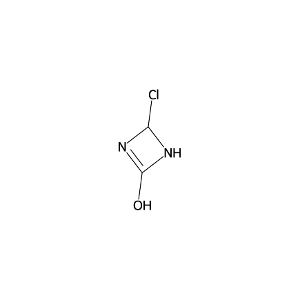 OC1=NC(Cl)N1